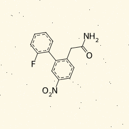 NC(=O)Cc1ccc([N+](=O)[O-])cc1-c1ccccc1F